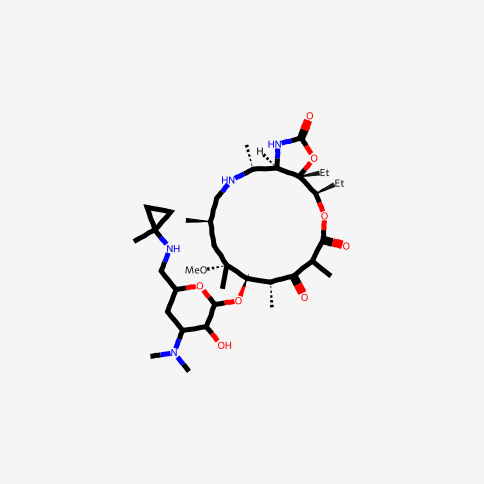 CC[C@H]1OC(=O)C(C)C(=O)[C@H](C)[C@@H](OC2OC(CNC3(C)CC3)CC(N(C)C)C2O)[C@](C)(OC)C[C@@H](C)CN[C@H](C)[C@H]2NC(=O)O[C@@]21CC